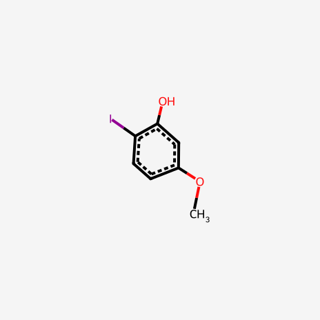 COc1ccc(I)c(O)c1